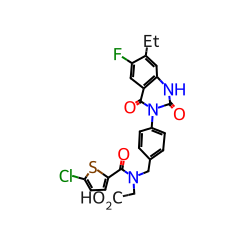 CCc1cc2[nH]c(=O)n(-c3ccc(CN(CC(=O)O)C(=O)c4ccc(Cl)s4)cc3)c(=O)c2cc1F